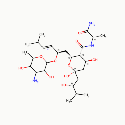 CC(C)/C=C/[C@@H](C[C@@H]1O[C@](O)(C[C@@H](O)C(C)C)C[C@H](O)[C@H]1C(=O)N[C@@H](C)C(N)=O)OC1OC(C)C(O)C(N)C1O